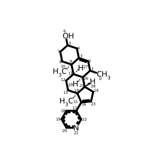 CC1C=C2CC(O)CC[C@]2(C)[C@@H]2CC[C@]3(C)C(c4cccnc4)=CC[C@H]3[C@H]12